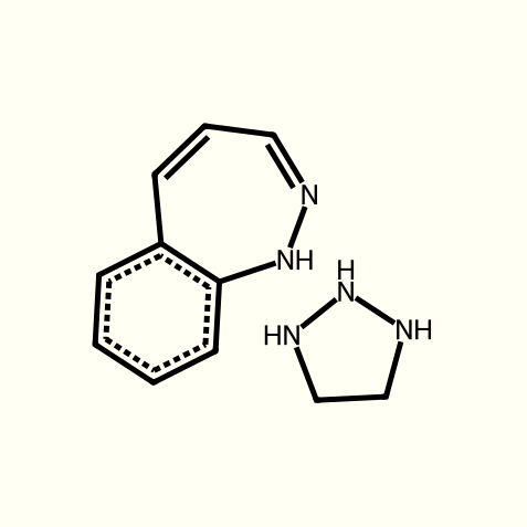 C1=Cc2ccccc2NN=C1.C1CNNN1